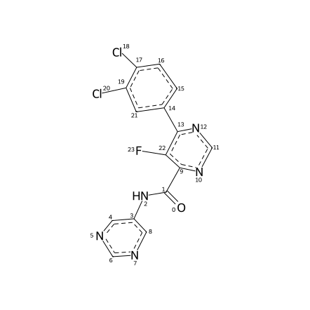 O=C(Nc1cncnc1)c1ncnc(-c2ccc(Cl)c(Cl)c2)c1F